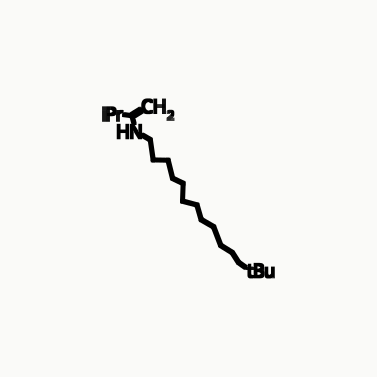 C=C(NCCCCCCCCCCCCC(C)(C)C)C(C)C